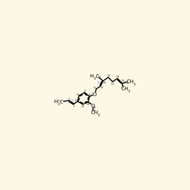 C/C=C/c1ccc(OC/C=C(\C)CCC=C(C)C)c(OC)c1